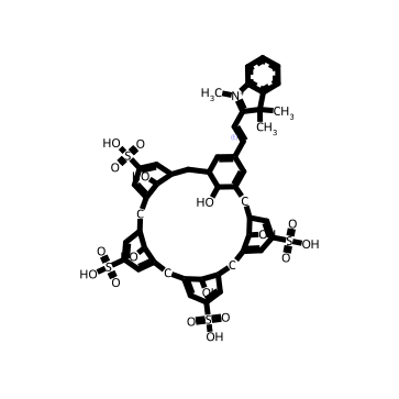 C[N+]1=C(/C=C/C2=CC3CC4C=C(S(=O)(=O)O)C=C(CC5C=C(S(=O)(=O)O)C=C(CC6=CC(S(=O)(=O)O)=CC(CC7=CC(S(=O)(=O)O)=CC(CC(=C2)C3O)C7O)C6O)C5O)C4O)C(C)(C)c2ccccc21